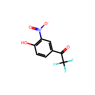 O=C(c1ccc(O)c([N+](=O)[O-])c1)C(F)(F)F